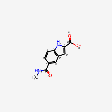 CNC(=O)c1ccc2[nH]c(C(=O)O)cc2c1